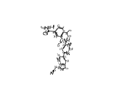 CNC(=O)c1ccc(C(C)CNc2cc(-c3cnc4c(cnn4CC#N)c3)ncn2)c(OC)c1